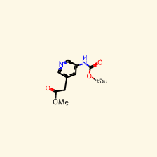 COC(=O)Cc1cncc(NC(=O)OC(C)(C)C)c1